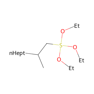 CCCCCCCC(C)CS(OCC)(OCC)OCC